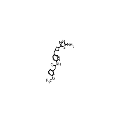 Nc1nnc(C2CC(Cc3ccc(NC(=O)Cc4cccc(OC(F)(F)F)c4)nn3)C2)s1